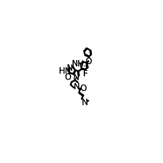 CN(C)CC=CC(=O)N1CCC[C@@H](n2cc(-c3ccc(Oc4ccccc4)cc3F)c3c(N)n[nH]c(=O)c32)C1